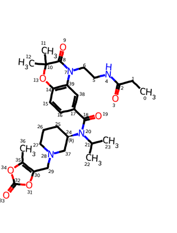 CCC(=O)NCCN1C(=O)C(C)(C)Oc2ccc(C(=O)N(C(C)C)[C@@H]3CCCN(Cc4oc(=O)oc4C)C3)cc21